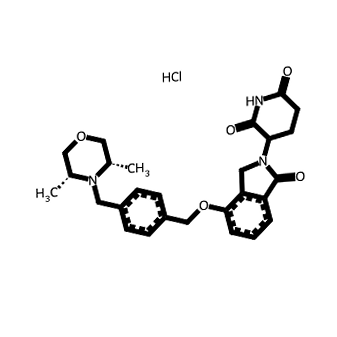 C[C@@H]1COC[C@H](C)N1Cc1ccc(COc2cccc3c2CN(C2CCC(=O)NC2=O)C3=O)cc1.Cl